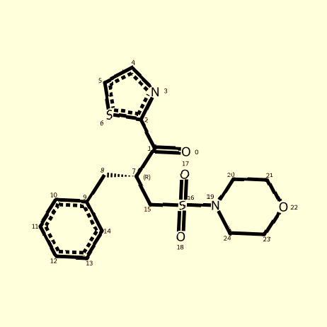 O=C(c1nccs1)[C@@H](Cc1ccccc1)CS(=O)(=O)N1CCOCC1